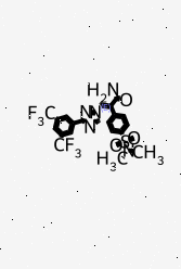 CN(C)S(=O)(=O)c1ccc(/C(=C\n2cnc(-c3cc(C(F)(F)F)cc(C(F)(F)F)c3)n2)C(N)=O)cc1